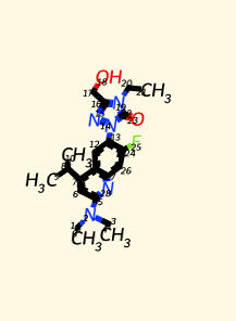 CCN(CC)c1cc(C(C)C)c2cc(-n3nc(CO)n(CC)c3=O)c(F)cc2n1